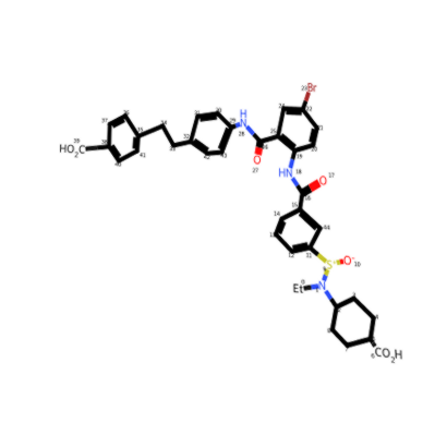 CCN(C1CCC(C(=O)O)CC1)[S+]([O-])c1cccc(C(=O)Nc2ccc(Br)cc2C(=O)Nc2ccc(CCc3ccc(C(=O)O)cc3)cc2)c1